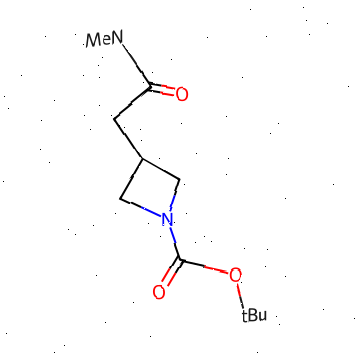 CNC(=O)CC1CN(C(=O)OC(C)(C)C)C1